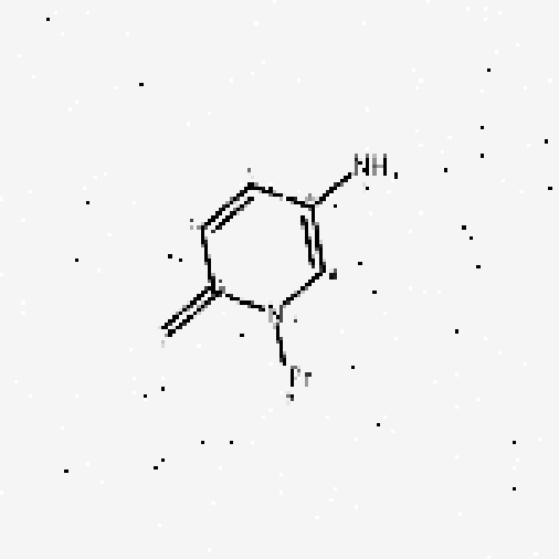 C=C1C=CC(N)=CN1C(C)C